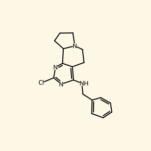 Clc1nc(NCc2ccccc2)c2c(n1)C1CCCN1CC2